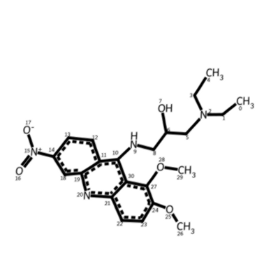 CCN(CC)CC(O)CNc1c2ccc([N+](=O)[O-])cc2nc2ccc(OC)c(OC)c12